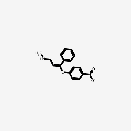 CNC/C=C(/Oc1ccc([N+](=O)[O-])cc1)c1ccccc1